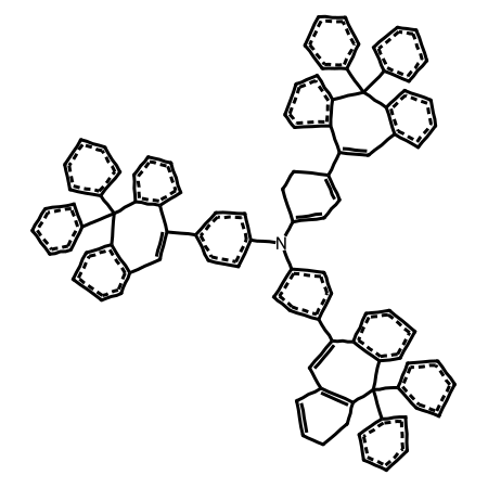 C1=CC2=C(CC1)C(c1ccccc1)(c1ccccc1)c1ccccc1C(c1ccc(N(C3=CC=C(C4=Cc5ccccc5C(c5ccccc5)(c5ccccc5)c5ccccc54)CC3)c3ccc(C4=Cc5ccccc5C(c5ccccc5)(c5ccccc5)c5ccccc54)cc3)cc1)=C2